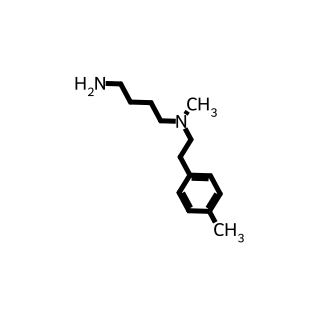 Cc1ccc(CCN(C)CCCCN)cc1